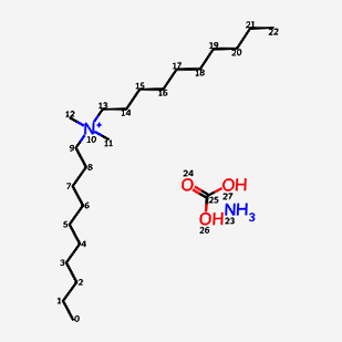 CCCCCCCCCC[N+](C)(C)CCCCCCCCCC.N.O=C(O)O